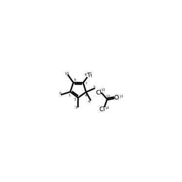 CC1=C(C)C(C)(C)[C]([Ti])=C1C.O=C(Cl)Cl